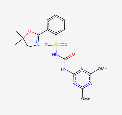 COc1nc(NC(=O)NS(=O)(=O)c2ccccc2C2=NCC(C)(C)O2)nc(OC)n1